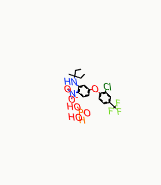 CCC(C)(CC)Nc1cc(Oc2ccc(C(F)(F)F)cc2Cl)ccc1[N+](=O)[O-].O=[PH](O)O